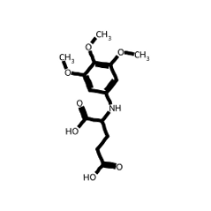 COc1cc(NC(CCC(=O)O)C(=O)O)cc(OC)c1OC